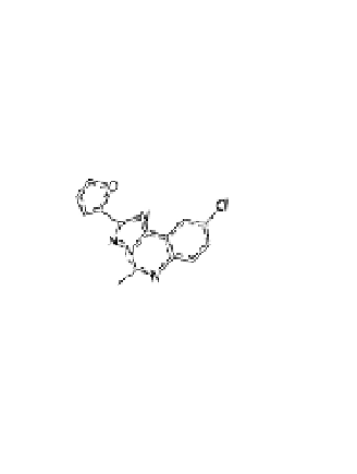 Cc1nc2ccc(Cl)cc2c2nc(-c3ccco3)nn12